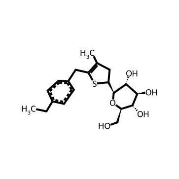 CCc1ccc(CC2=C(C)CC([C@@H]3O[C@H](CO)[C@@H](O)[C@H](O)[C@H]3O)S2)cc1